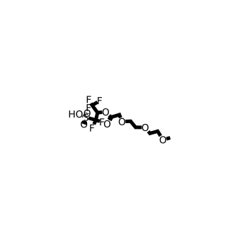 COCCOCCOCC(=O)OC(C(F)(F)F)C(F)(F)S(=O)(=O)O